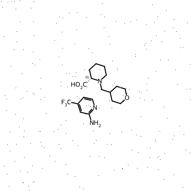 Nc1cc(C(F)(F)F)ccn1.O=C(O)[C@@H]1CCCCN1CC1CCOCC1